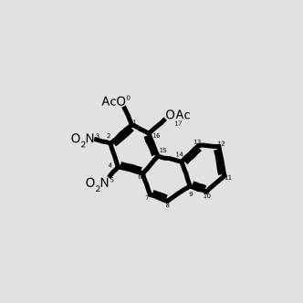 CC(=O)Oc1c([N+](=O)[O-])c([N+](=O)[O-])c2ccc3ccccc3c2c1OC(C)=O